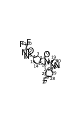 O=C1c2cc(-c3nnc(C(F)F)o3)ccc2CN1c1ccnn1-c1ccc(F)cc1